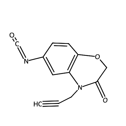 C#CCN1C(=O)COc2ccc(N=C=O)cc21